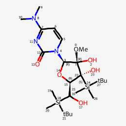 CO[C@]1(O)[C@H](n2ccc(N(C)C)nc2=O)O[C@H](C(O)[Si](C)(C)C(C)(C)C)[C@]1(O)[Si](C)(C)C(C)(C)C